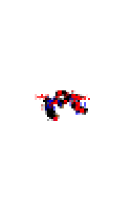 Cc1ncsc1-c1ccc(CNC(=O)[C@@H]2C[C@@H](O)CN2C(=O)C(NC(=O)CC(C)(C)OCCC(C)(C)Oc2cc(-c3scnc3C)ccc2CNC(=O)[C@@H]2C[C@@H](O)CN2C(=O)C(NC(=O)CC2(C#N)CC2)C(C)(C)C)C(C)(C)C)cc1